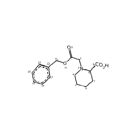 O=C(CN1CCCCC1C(=O)O)OCc1ccccc1